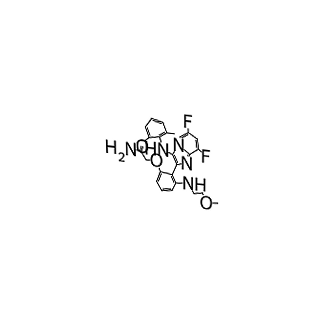 COCCNc1cccc(OCC(N)=O)c1-c1nc2c(F)cc(F)cn2c1Nc1c(C)cccc1C